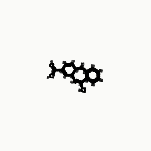 O=C(Cl)C1=CC2N=C(Cl)c3ccccc3SC2C=C1